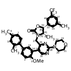 COc1ccc(-c2ccc(C)cc2C)cc1-c1cnc(N2CCOCC2)nc1CN1C(=O)O[C@H](c2cc(C)cc(C(F)(F)F)c2)[C@@H]1C